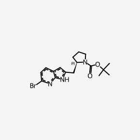 CC(C)(C)OC(=O)N1CCC[C@@H]1Cc1cc2ccc(Br)nc2[nH]1